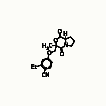 CCc1cc(OC[C@]2(C)OC(=O)[C@H]3CCCN3C2=O)ccc1C#N